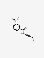 CCC#CNC(=O)c1cccc([N+](=O)[O-])c1